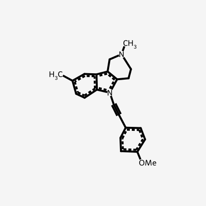 COc1ccc(C#Cn2c3c(c4cc(C)ccc42)CN(C)CC3)cc1